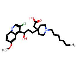 CCCCCCCN1CCC(CCC(O)c2c(Cl)cnc3ccc(OC)cc23)(CC(=O)O)CC1